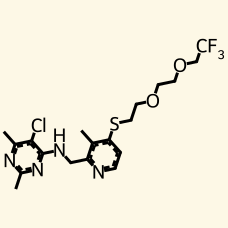 Cc1nc(C)c(Cl)c(NCc2nccc(SCCOCCOCC(F)(F)F)c2C)n1